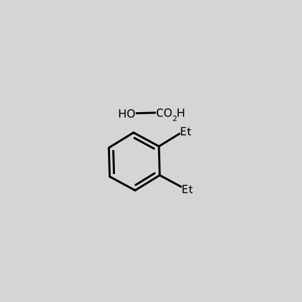 CCc1ccccc1CC.O=C(O)O